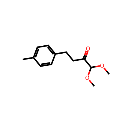 COC(OC)C(=O)CCc1ccc(C)cc1